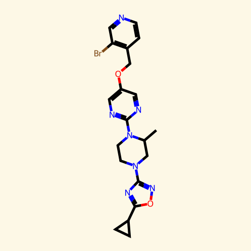 CC1CN(c2noc(C3CC3)n2)CCN1c1ncc(OCc2ccncc2Br)cn1